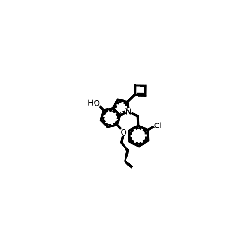 CCCCOc1ccc(O)c2cc(C3=CCC3)n(Cc3ccccc3Cl)c12